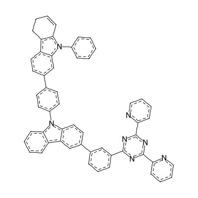 C1=Cc2c(c3ccc(-c4ccc(-n5c6ccccc6c6cc(-c7cccc(-c8nc(-c9ccccn9)nc(-c9ccccn9)n8)c7)ccc65)cc4)cc3n2-c2ccccc2)CC1